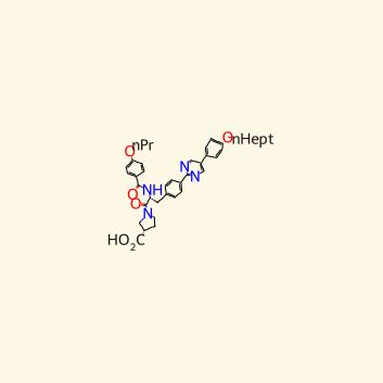 CCCCCCCOc1ccc(-c2cnc(-c3ccc(C[C@H](NC(=O)c4ccc(OCCC)cc4)C(=O)N4CC[C@H](C(=O)O)C4)cc3)nc2)cc1